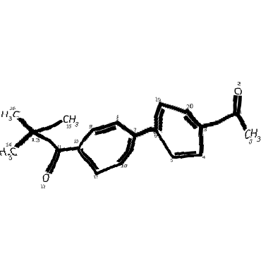 CC(=O)c1ccc(-c2ccc(C(=O)C(C)(C)C)cc2)cc1